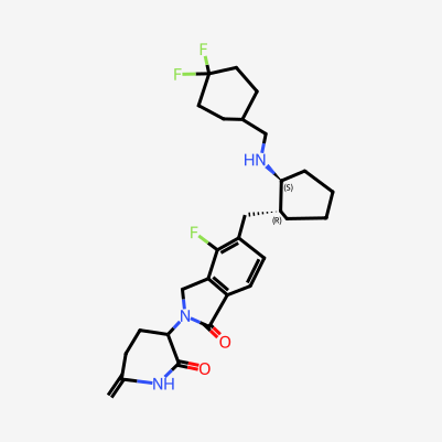 C=C1CCC(N2Cc3c(ccc(C[C@H]4CCCC[C@@H]4NCC4CCC(F)(F)CC4)c3F)C2=O)C(=O)N1